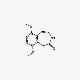 COc1ccc(OC)c2c1C=CNC(=O)C2